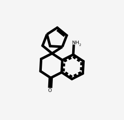 Nc1cccc2c1C1(CCC2=O)CC2C=CC1C2